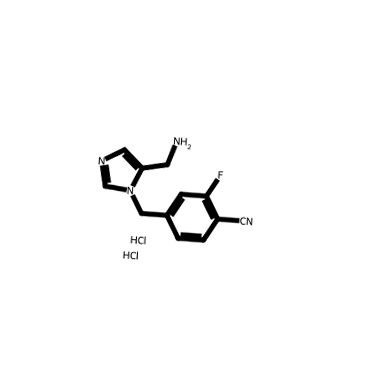 Cl.Cl.N#Cc1ccc(Cn2cncc2CN)cc1F